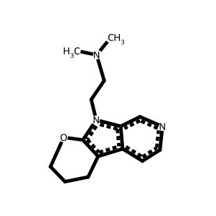 CN(C)CCn1c2c(c3ccncc31)CCCO2